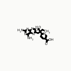 CCC(Cc1cnc2nc(N)nc(N)c2n1)(C(=O)O)c1ccc(C(=O)O)cn1